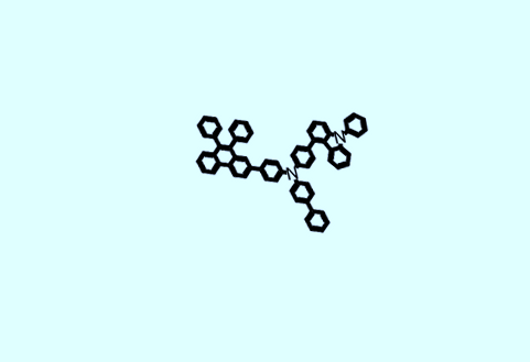 c1ccc(-c2ccc(N(c3ccc(-c4ccc5c(c4)c(-c4ccccc4)c(-c4ccccc4)c4ccccc45)cc3)c3ccc(-c4cccc5c4c4ccccc4n5-c4ccccc4)cc3)cc2)cc1